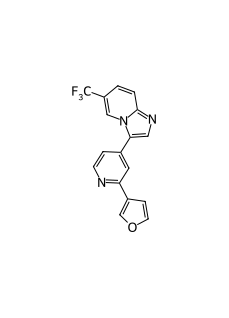 FC(F)(F)c1ccc2ncc(-c3ccnc(-c4ccoc4)c3)n2c1